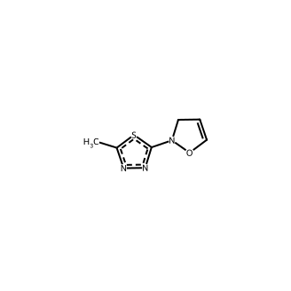 Cc1nnc(N2CC=CO2)s1